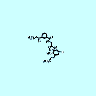 NN=CNc1cccc(C(=O)NCC(=O)NC2(Br)C=C(Cl)C=C(CCC(=O)O)C2O)c1